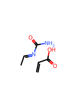 C=CC(=O)O.CC=NC(N)=O